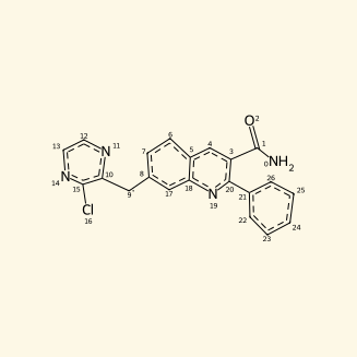 NC(=O)c1cc2ccc([CH]c3nccnc3Cl)cc2nc1-c1ccccc1